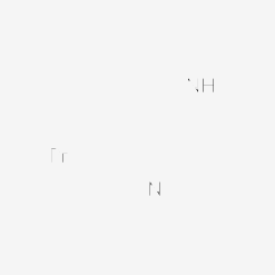 CC(C)C1=CNCC=N1